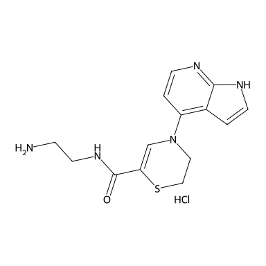 Cl.NCCNC(=O)C1=CN(c2ccnc3[nH]ccc23)CCS1